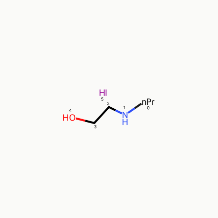 CCCNCCO.I